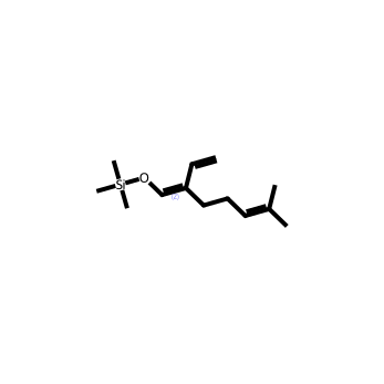 C=C/C(=C\O[Si](C)(C)C)CCC=C(C)C